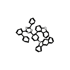 c1ccc(-c2nc(-c3ccccc3-c3ccccc3)nc(-c3ccc(-n4c5ccccc5c5cc6ccccc6cc54)cc3-c3cccc4oc5ccccc5c34)n2)cc1